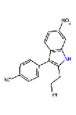 CC(C)CCc1[nH]c2cc([N+](=O)[O-])ccc2c1-c1ccc(C#N)cc1